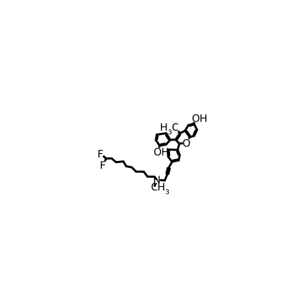 CC1=C(c2cccc(O)c2)C(c2ccc(C#CCN(C)CCCCCCCCCC(F)F)cc2)Oc2ccc(O)cc21